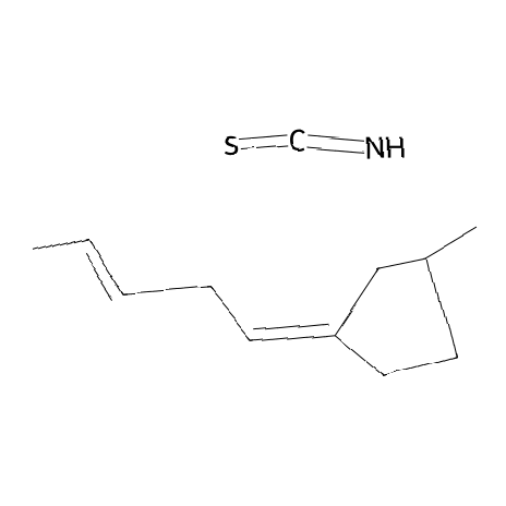 CC=CCC=C1CCC(C)C1.N=C=S